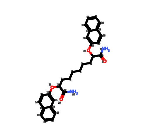 NC(=O)C(CCCCCCC(Oc1ccc2ccccc2c1)C(N)=O)Oc1ccc2ccccc2c1